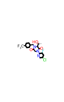 C[C@@H](O)[C@H]1C(=O)N(c2ncc(Cl)cc2F)CC(=O)N1Cc1ccc(C(F)(F)F)cc1